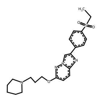 CCS(=O)(=O)c1ccc(-c2cn3nc(OCCCN4CCCCC4)ccc3n2)cc1